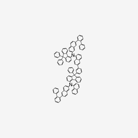 c1ccc(-c2ccccc2-c2ccc3cc(N(c4cccc5c4-c4ccccc4C5(c4ccccc4)c4cccc(-c5ccc6c(N(c7ccc8ccc(-c9ccccc9-c9ccccc9)cc8c7)c7cccc8c7-c7ccccc7C8(c7ccccc7)c7ccccc7)cccc6c5)c4)c4cccc5ccccc45)ccc3c2)cc1